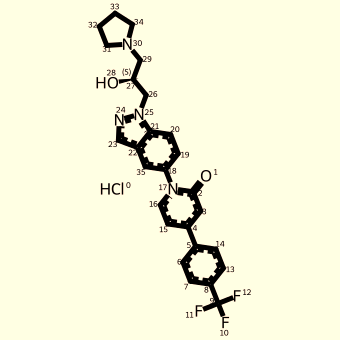 Cl.O=c1cc(-c2ccc(C(F)(F)F)cc2)ccn1-c1ccc2c(cnn2C[C@@H](O)CN2CCCC2)c1